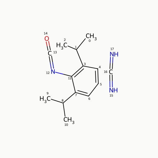 CC(C)c1cccc(C(C)C)c1N=C=O.N=C=N